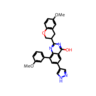 COc1cccc(-c2cc(-c3cn[nH]c3)cc3c(O)nc(C4COc5ccc(OC)cc5C4)nc23)c1